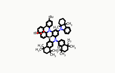 CC(C)(C)c1ccc(N2c3cc(C(C)(C)C)ccc3B3c4cc5c(cc4N(c4ccc6c(c4)C(C)(C)CCC6(C)C)c4cc(N6c7ccccc7C7(C)CCCCC67C)cc2c43)C(C)(C)CCC5(C)C)c(-c2ccccc2)c1